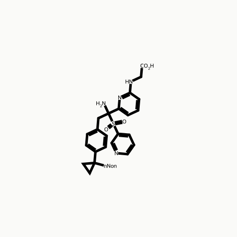 CCCCCCCCCC1(c2ccc(CC(N)(c3cccc(NCC(=O)O)n3)S(=O)(=O)c3cccnc3)cc2)CC1